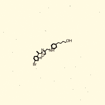 C=C(c1nc(CNc2ccc(CCCCO)cc2)co1)c1ccc(Br)cc1F